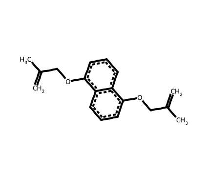 C=C(C)COc1cccc2c(OCC(=C)C)cccc12